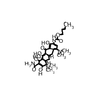 CCCCOC(=O)Nc1cc(N(C)C)c2c(c1O)C(=O)C1=C(O)[C@]3(O)C(=O)C(C(N)=O)=C(O)[C@@H](N(C)C)[C@@H]3C[C@H]1C2